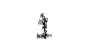 CC(C)(C)C(NC(=O)C1CCC(F)(F)CC1)c1nc(-c2ccc(-c3cnc(-c4c[nH]c(C(NC(=O)C5CCC(F)(F)CC5)C(C)(C)C)n4)cn3)cc2)c[nH]1